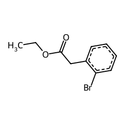 CCOC(=O)Cc1ccccc1Br